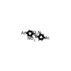 CC(=O)c1ccc(SSc2ccc(C(C)=O)cc2[N+](=O)[O-])c([N+](=O)[O-])c1